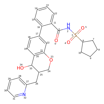 O=C(NS(=O)(=O)C1CCCC1)c1ccccc1-c1ccc2c(c1)OCC(Cc1ccccn1)C2O